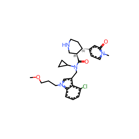 COCCCn1cc(CN(C(=O)[C@H]2CNCC[C@@H]2c2ccn(C)c(=O)c2)C2CC2)c2c(Cl)cccc21